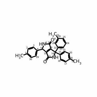 Cc1ccc(C2NC(=O)C3=C2C(=O)NC3(c2ccc(C)cc2)c2cccc(C)c2)cc1